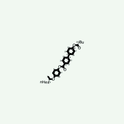 CCCCCC[C@H](C)Oc1ccc(OC(=O)c2ccc(-c3ccc(OC(=O)[C@@H](C)CC)cc3)cc2)cc1